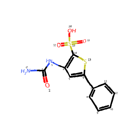 NC(=O)Nc1cc(-c2ccccc2)sc1S(=O)(=O)O